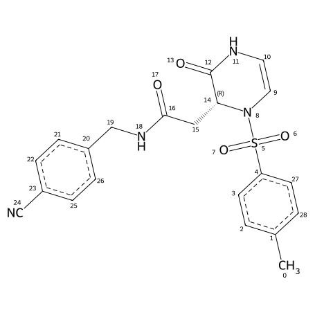 Cc1ccc(S(=O)(=O)N2C=CNC(=O)[C@H]2CC(=O)NCc2ccc(C#N)cc2)cc1